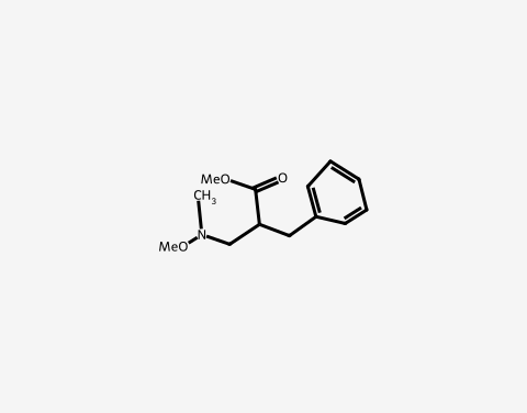 COC(=O)C(Cc1ccccc1)CN(C)OC